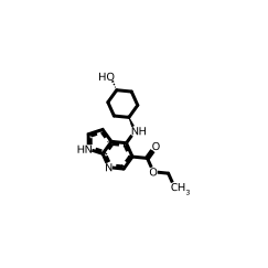 CCOC(=O)c1cnc2[nH]ccc2c1N[C@H]1CC[C@H](O)CC1